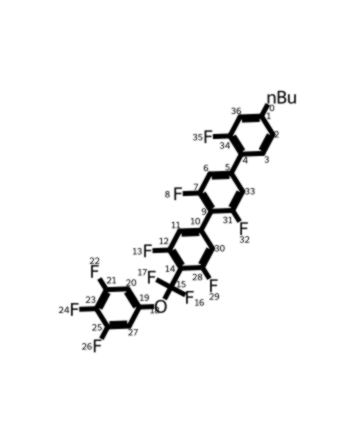 CCCCc1ccc(-c2cc(F)c(-c3cc(F)c(C(F)(F)Oc4cc(F)c(F)c(F)c4)c(F)c3)c(F)c2)c(F)c1